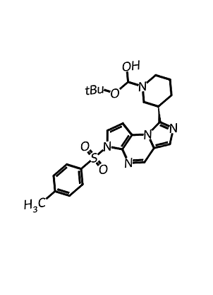 Cc1ccc(S(=O)(=O)n2ccc3c2ncc2cnc([C@@H]4CCCN(C(O)OC(C)(C)C)C4)n23)cc1